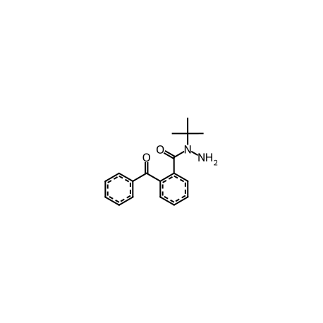 CC(C)(C)N(N)C(=O)c1ccccc1C(=O)c1ccccc1